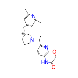 Cc1cc(C[C@H]2CCCN(C(C)c3ccc4c(n3)OCC(=O)N4)C2)cc(C)n1